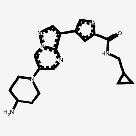 NC1CCN(c2cnc3c(-c4csc(C(=O)NCC5CC5)c4)cnn3c2)CC1